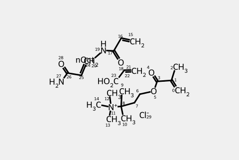 C=C(C)C(=O)OCCC(C)(C)[N+](C)(C)C.C=CC(=O)NCCCCCCCC.C=CC(=O)O.C=CC(N)=O.[Cl-]